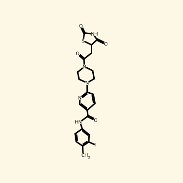 Cc1ccc(NC(=O)c2ccc(N3CCN(C(=O)CC4SC(=O)NC4=O)CC3)nc2)cc1I